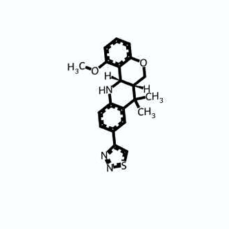 COc1cccc2c1[C@H]1Nc3ccc(-c4csnn4)cc3C(C)(C)[C@H]1CO2